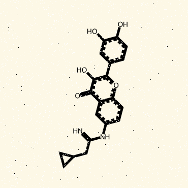 N=C(CC1CC1)Nc1ccc2oc(-c3ccc(O)c(O)c3)c(O)c(=O)c2c1